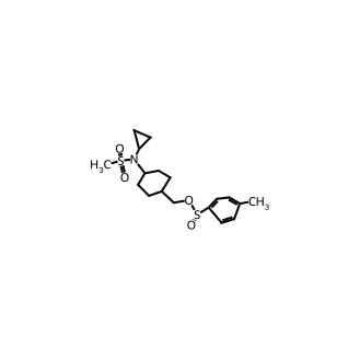 Cc1ccc(S(=O)OCC2CCC(N(C3CC3)S(C)(=O)=O)CC2)cc1